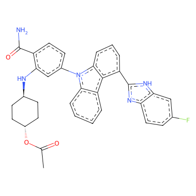 CC(=O)O[C@H]1CC[C@H](Nc2cc(-n3c4ccccc4c4c(-c5nc6ccc(F)cc6[nH]5)cccc43)ccc2C(N)=O)CC1